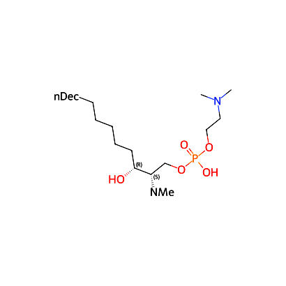 CCCCCCCCCCCCCCC[C@@H](O)[C@H](COP(=O)(O)OCCN(C)C)NC